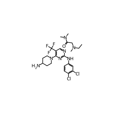 CCN(C)CC(=O)N(C)C.NC1CCN(c2nc(Nc3ccc(Cl)c(Cl)c3)ncc2C(F)(F)F)CC1